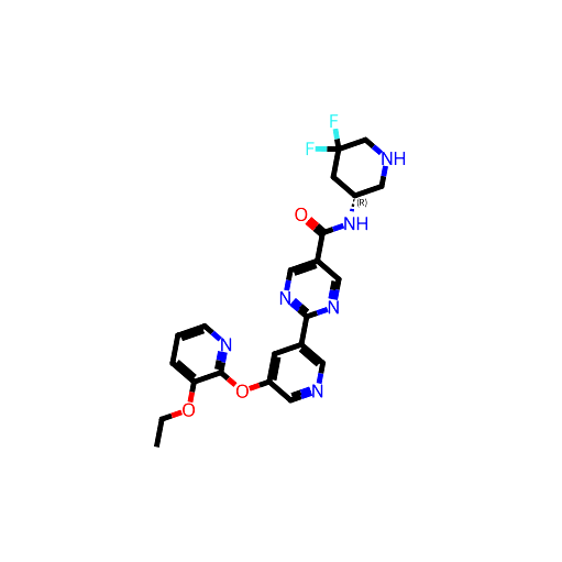 CCOc1cccnc1Oc1cncc(-c2ncc(C(=O)N[C@H]3CNCC(F)(F)C3)cn2)c1